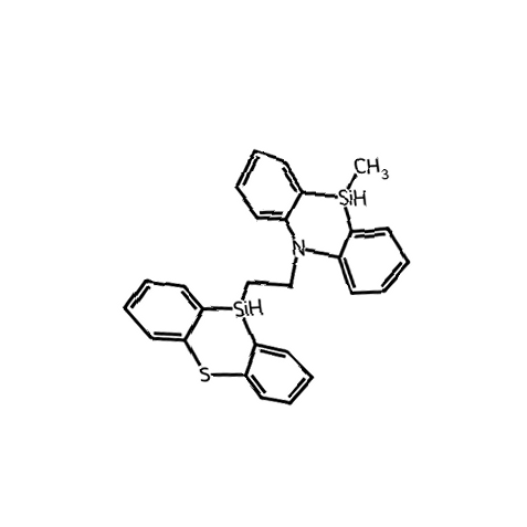 C[SiH]1c2ccccc2N(CC[SiH]2c3ccccc3Sc3ccccc32)c2ccccc21